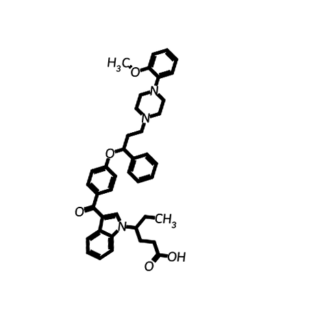 CCC(CCC(=O)O)n1cc(C(=O)c2ccc(OC(CCN3CCN(c4ccccc4OC)CC3)c3ccccc3)cc2)c2ccccc21